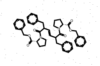 O=C(OCc1ccccc1)[C@H]1CCCN1C(=O)C(/C=C/C(Cc1ccccc1)C(=O)N1CCC[C@@H]1C(=O)OCc1ccccc1)Cc1ccccc1